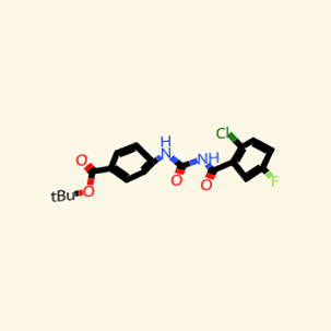 CC(C)(C)OC(=O)c1ccc(NC(=O)NC(=O)c2cc(F)ccc2Cl)cc1